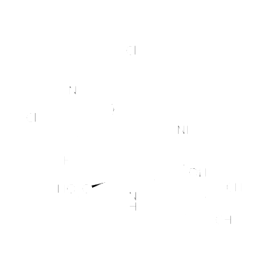 CC1(C)CCC2(CC1)N[C@@H](C(=O)O)[C@H](c1ccnc(Cl)c1F)[C@@]21c2ccc(Cl)cc2NC1O